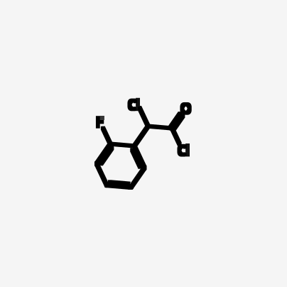 O=C(Cl)C(Cl)c1ccccc1F